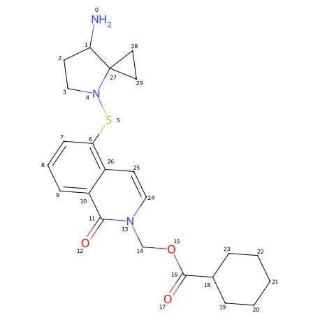 NC1CCN(Sc2cccc3c(=O)n(COC(=O)C4CCCCC4)ccc23)C12CC2